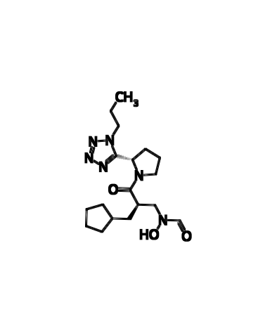 CCCn1nnnc1[C@@H]1CCCN1C(=O)[C@H](CC1CCCC1)CN(O)C=O